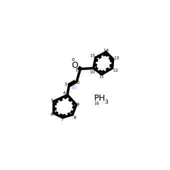 O=C(/C=C/c1ccccc1)c1ccccc1.P